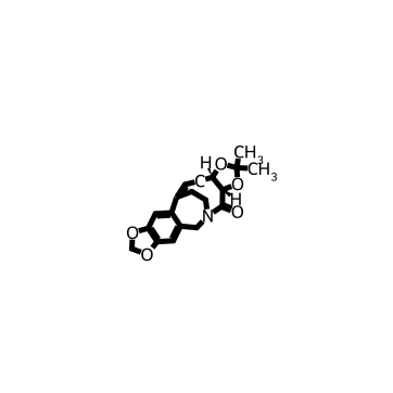 CC1(C)O[C@@H]2C(=O)N3CC/C(=C/C[C@H]2O1)c1cc2c(cc1C3)OCO2